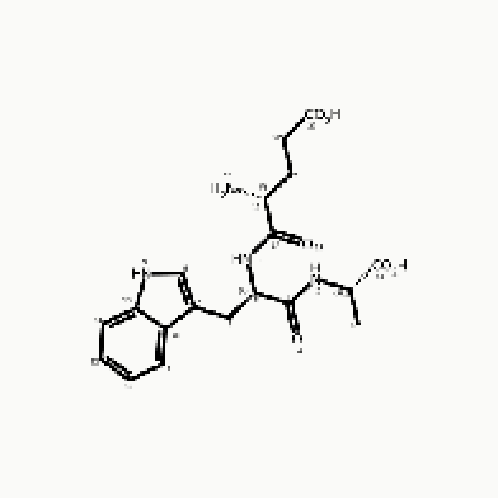 C[C@H](NC(=O)[C@@H](Cc1c[nH]c2ccccc12)NC(=O)[C@H](N)CCC(=O)O)C(=O)O